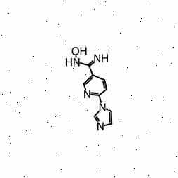 N=C(NO)c1ccc(-n2ccnc2)nc1